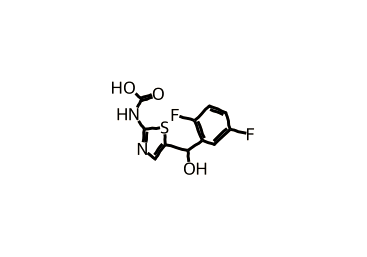 O=C(O)Nc1ncc(C(O)c2cc(F)ccc2F)s1